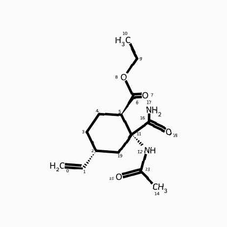 C=C[C@@H]1CC[C@@H](C(=O)OCC)[C@@](NC(C)=O)(C(N)=O)C1